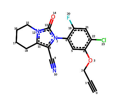 C#CCOc1cc(-n2c(C#N)c3n(c2=O)CCCC3)c(F)cc1Cl